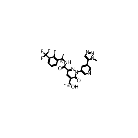 C[C@@H](O)c1cc(C(=O)N[C@H](C)c2cccc(C(F)(F)F)c2F)nn(-c2cncc(-c3cnnn3C)c2)c1=O